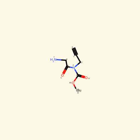 C#CCN(C(=O)CN)C(=O)OC(C)(C)C